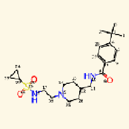 CC(C)(C)c1ccc(C(=O)NCC2CCN(CCNS(=O)(=O)C3CC3)CC2)cc1